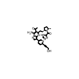 CC(=O)c1c(CC[C@H]2CC[C@@H](C)N2C(=O)c2nnc[nH]2)nc2c(-c3ccc(C#CCO)nc3)cnn2c1N